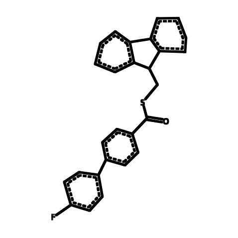 O=C(SCC1c2ccccc2-c2ccccc21)c1ccc(-c2ccc(F)cc2)cc1